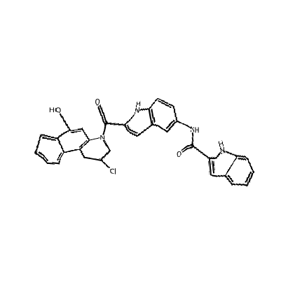 O=C(Nc1ccc2[nH]c(C(=O)N3CC(Cl)Cc4c3cc(O)c3ccccc43)cc2c1)c1cc2ccccc2[nH]1